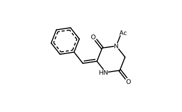 CC(=O)N1CC(=O)NC(=Cc2ccccc2)C1=O